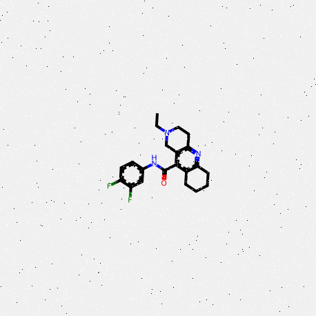 CCN1CCc2nc3c(c(C(=O)Nc4ccc(F)c(F)c4)c2C1)CCCC3